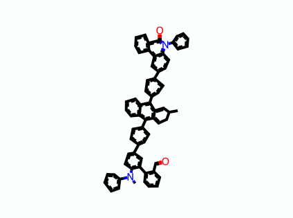 CC1C=c2c(-c3ccc(-c4ccc5c(c4)c4ccccc4c(=O)n5-c4ccccc4)cc3)c3ccccc3c(-c3ccc(-c4ccc(N(C)c5ccccc5)c(-c5ccccc5C=O)c4)cc3)c2=CC1